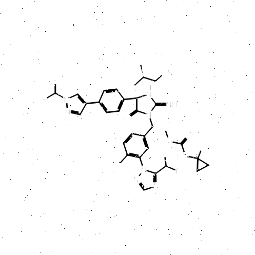 C[C@@H](CC#N)C[C@]1(c2ccc(-c3cnn(C(F)F)c3)cc2)NC(=N)N([C@H](COC(=O)NC2(C(F)(F)F)CC2)c2ccc(Cl)c(-n3ncnc3C(F)F)c2)C1=O